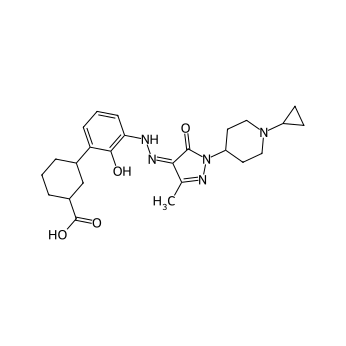 CC1=NN(C2CCN(C3CC3)CC2)C(=O)C1=NNc1cccc(C2CCCC(C(=O)O)C2)c1O